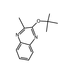 Cc1nc2ccccc2nc1OC(C)(C)C